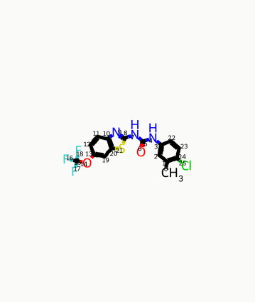 Cc1cc(NC(=O)Nc2nc3ccc(OC(F)(F)F)cc3s2)ccc1Cl